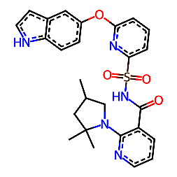 CC1CN(c2ncccc2C(=O)NS(=O)(=O)c2cccc(Oc3ccc4[nH]ccc4c3)n2)C(C)(C)C1